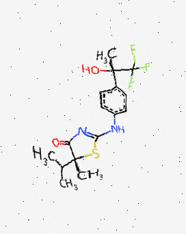 CC(C)C1(C)SC(Nc2ccc(C(C)(O)C(F)(F)F)cc2)=NC1=O